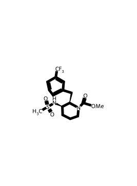 COC(=O)N1CCC[C@@H](NS(C)(=O)=O)[C@H]1Cc1cccc(C(F)(F)F)c1